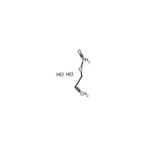 C=CCO[PH2]=O.Cl.Cl